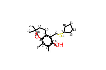 Cc1c(C)c2c(c(CSC3CCCC3)c1O)CCC(C)(C)O2